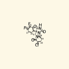 O=C1NC(=O)C(Cn2cccc(Cl)c2=O)(c2ccc(F)c(F)c2)N1